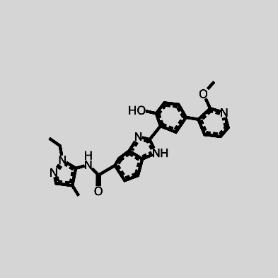 CCn1ncc(C)c1NC(=O)c1ccc2[nH]c(-c3cc(-c4cccnc4OC)ccc3O)nc2c1